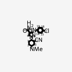 CNC1CCC(n2cc(C(N)=O)c(Nc3ccc(Cl)cc3)n2)C(C#N)C1